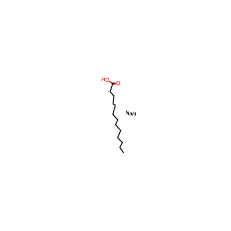 CCCCCCCCCCC[CH]C(=O)O.[NaH]